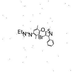 CCN(C)C=Nc1cc(C)c(Oc2snc(-c3ccccc3)c2Br)cc1C